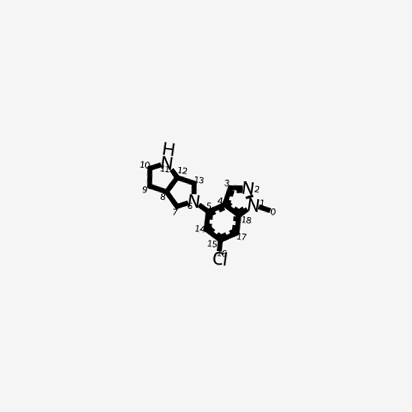 Cn1ncc2c(N3CC4CCNC4C3)cc(Cl)cc21